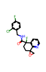 O=C(NCc1ccc(F)cc1Cl)C1(F)CCC2(CO2)c2ncccc21